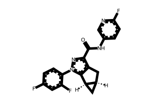 O=C(Nc1ccc(F)nc1)c1nn(-c2ccc(F)cc2F)c2c1C[C@H]1C[C@@H]21